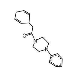 O=C(CC1C=CCC=C1)N1CCN(c2ccccc2)CC1